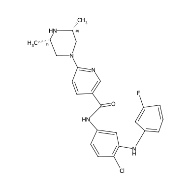 C[C@@H]1CN(c2ccc(C(=O)Nc3ccc(Cl)c(Nc4cccc(F)c4)c3)cn2)C[C@H](C)N1